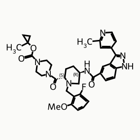 COc1cccc(F)c1CN1C[C@H](NC(=O)c2ccc3[nH]nc(-c4ccnc(C)c4)c3c2)CC[C@H]1C(=O)N1CCN(C(=O)OC2(C)CC2)CC1